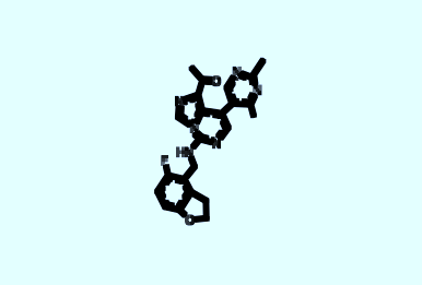 CC(=O)c1ncn2c(NCc3c(F)ccc4c3CCO4)ncc(-c3cnc(C)nc3C)c12